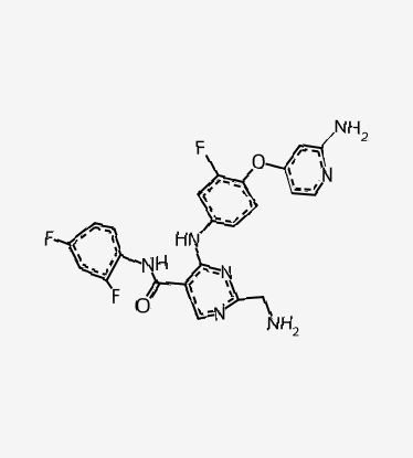 NCc1ncc(C(=O)Nc2ccc(F)cc2F)c(Nc2ccc(Oc3ccnc(N)c3)c(F)c2)n1